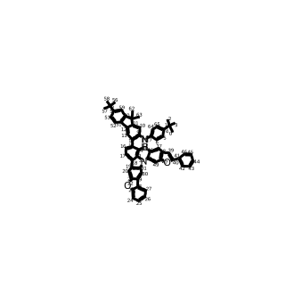 CC(C)(C)c1ccc(Nc2cc3c(cc2-c2ccc4c5cc6oc7ccccc7c6cc5n5c4c2Bc2cc4cc(-c6ccccc6)oc4cc2-5)-c2ccc(C(C)(C)C)cc2C3(C)C)cc1